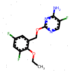 CCOc1c(F)cc(F)cc1COc1ncc(F)c(N)n1